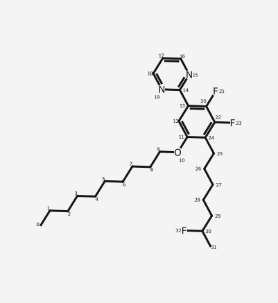 CCCCCCCCCCOc1cc(-c2ncccn2)c(F)c(F)c1CCCCCC(C)F